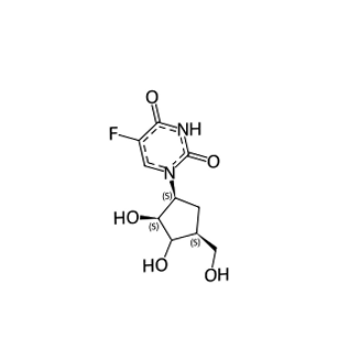 O=c1[nH]c(=O)n([C@H]2C[C@@H](CO)C(O)[C@H]2O)cc1F